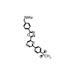 CNCc1ccc(-c2nnc(-c3cncc(-c4ccc(S(C)(=O)=O)cc4)n3)o2)cc1